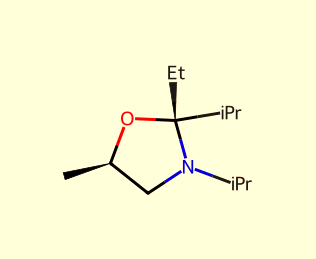 CC[C@]1(C(C)C)O[C@H](C)CN1C(C)C